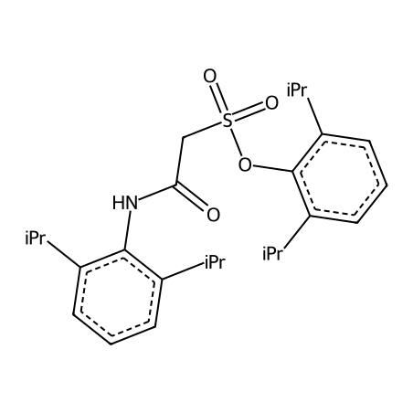 CC(C)c1cccc(C(C)C)c1NC(=O)CS(=O)(=O)Oc1c(C(C)C)cccc1C(C)C